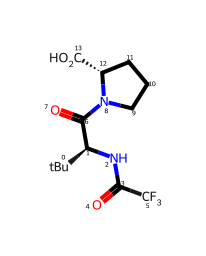 CC(C)(C)[C@H](NC(=O)C(F)(F)F)C(=O)N1CCC[C@H]1C(=O)O